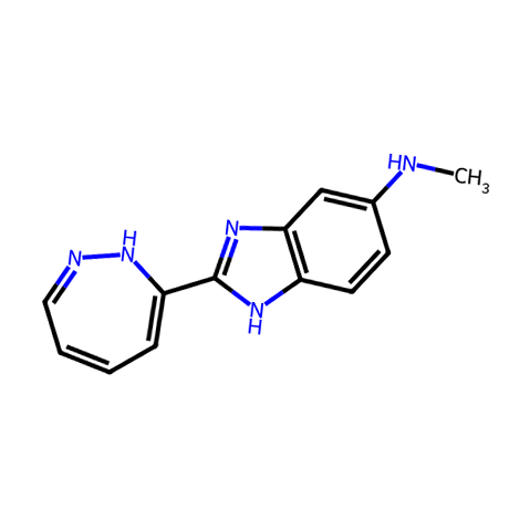 CNc1ccc2[nH]c(C3=CC=CC=NN3)nc2c1